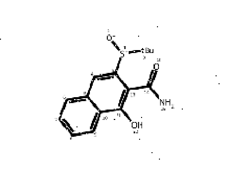 CC(C)(C)[S+]([O-])c1cc2ccccc2c(O)c1C(N)=O